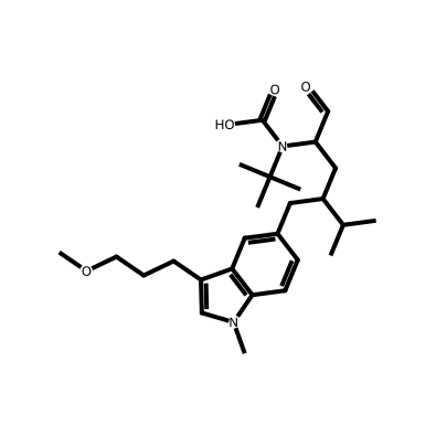 COCCCc1cn(C)c2ccc(CC(CC(C=O)N(C(=O)O)C(C)(C)C)C(C)C)cc12